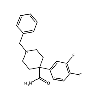 NC(=O)C1(c2ccc(F)c(F)c2)CCN(Cc2ccccc2)CC1